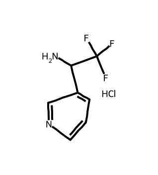 Cl.NC(c1cccnc1)C(F)(F)F